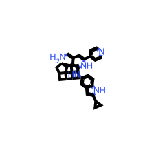 N/C=C1/C=C(c2ccncc2)NC(Nc2ccc3[nH]c(C4CC4)cc3c2)C1C1C2CC3CC4C5CC6CC2C65C341